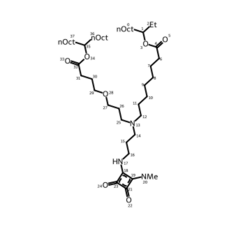 CCCCCCCCC(CC)OC(=O)CCCCCCCN(CCCNc1c(NC)c(=O)c1=O)CCCOCCCC(=O)OC(CCCCCCCC)CCCCCCCC